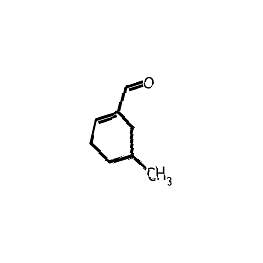 CC1CCC=C(C=O)C1